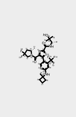 C[C@H](NC(=O)c1nc(C(=O)N2CC(F)(F)C[C@@H]2C)c(-c2cnc(NC3(C)CCC3)cc2C(F)(F)F)s1)C(C)(C)O